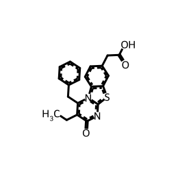 CCc1c(Cc2ccccc2)n2c(nc1=O)sc1cc(CC(=O)O)ccc12